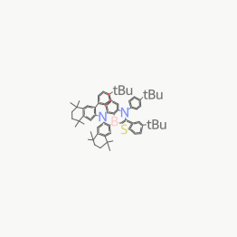 Cc1cc2c3c(c1)N(c1ccc(C(C)(C)C)cc1)c1c(sc4ccc(C(C)(C)C)cc14)B3c1cc3c(cc1N2c1cc2c(cc1-c1ccc(C(C)(C)C)cc1)C(C)(C)CCC2(C)C)C(C)(C)CCC3(C)C